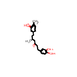 Cc1ccc(CC[C@H](C)CC(=O)CCc2ccc(O)c(O)c2)cc1O